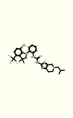 CC(C)CN1CCc2nc(NC(=O)Nc3ccccc3N3CC(C)(C)c4c(C(F)(F)F)ccc(O)c43)sc2C1